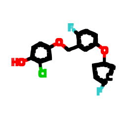 Oc1ccc(OCc2cc(Oc3ccc(F)cc3)ccc2F)cc1Cl